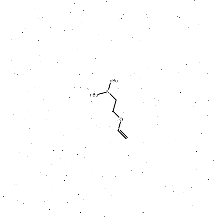 C=COCCN(CCCC)CCCC